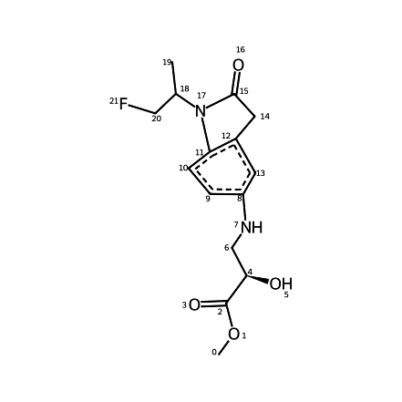 COC(=O)[C@H](O)CNc1ccc2c(c1)CC(=O)N2C(C)CF